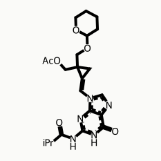 CC(=O)OCC1(COC2CCCCO2)CC1=Cn1cnc2c(=O)[nH]c(NC(=O)C(C)C)nc21